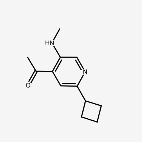 CNc1cnc(C2CCC2)cc1C(C)=O